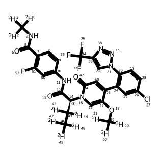 [2H]C([2H])([2H])NC(=O)c1ccc(NC(=O)[C@@H](n2cc(OC([2H])([2H])[2H])c(-c3cc(Cl)ccc3-n3cc(C(F)(F)F)nn3)cc2=O)C([2H])([2H])C([2H])([2H])[2H])cc1F